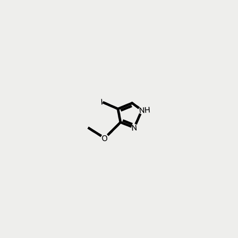 COc1n[nH]cc1I